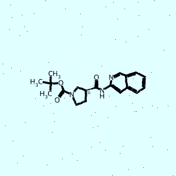 CC(C)(C)OC(=O)N1CC[C@H](C(=O)Nc2cc3ccccc3cn2)C1